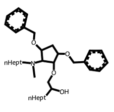 CCCCCCCC(O)COC1C(OCc2ccccc2)CC(OCc2ccccc2)C1N(C)CCCCCCC